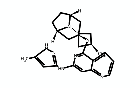 Cc1cc(Nc2cc3ncccc3c(N[C@@H]3C[C@H]4CC[C@@H](C3)N4[C@H]3C[C@H](C)C3)n2)n[nH]1